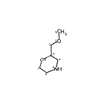 COC[C]1CNCCO1